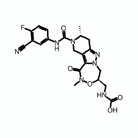 C[C@@H]1Cc2nn3c(c2CN1C(=O)Nc1ccc(F)c(C#N)c1)C(=O)N(C)O[C@H](CNC(=O)O)C3